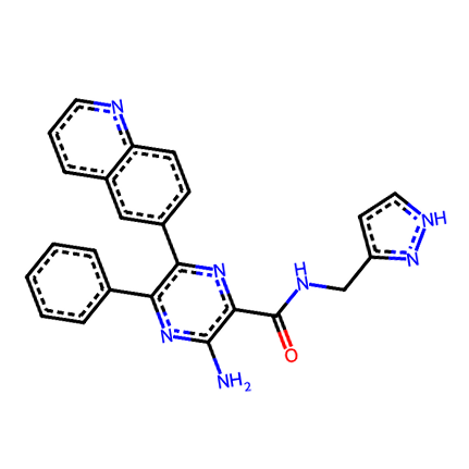 Nc1nc(-c2ccccc2)c(-c2ccc3ncccc3c2)nc1C(=O)NCc1cc[nH]n1